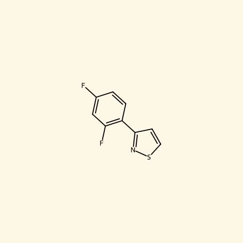 Fc1ccc(-c2ccsn2)c(F)c1